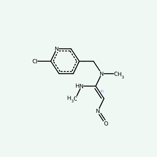 CN/C(=C\N=O)N(C)Cc1ccc(Cl)nc1